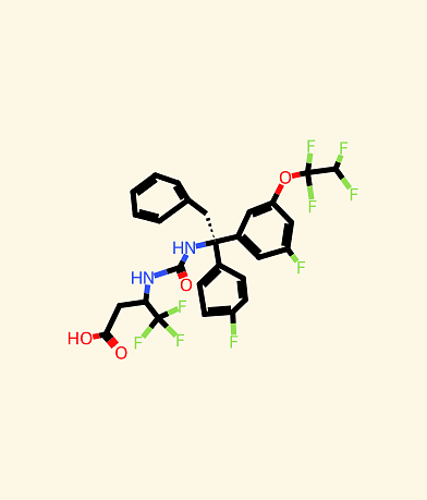 O=C(O)CC(NC(=O)N[C@](Cc1ccccc1)(c1ccc(F)cc1)c1cc(F)cc(OC(F)(F)C(F)F)c1)C(F)(F)F